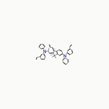 C=C/C=C1\C(=C/C(C)N(c2ccccc2)c2cccc(C=C)c2)C(C)(C)c2cc(N(c3ccccc3)c3cccc(C=C)c3)ccc21